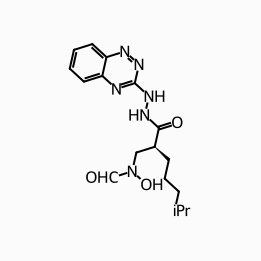 CC(C)CCC[C@@H](CN(O)C=O)C(=O)NNc1nnc2ccccc2n1